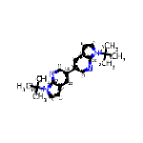 CC(C)(C)n1ccc2cc(-c3cnc4c(ccn4C(C)(C)C)c3)cnc21